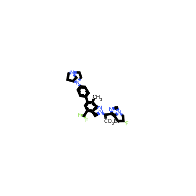 CCOC(=O)C(c1ncn2c1C[C@@H](F)C2)n1cc2c(C(F)F)cc(-c3ccc(N4CCN5CCC4C5)cc3)c(C)c2n1